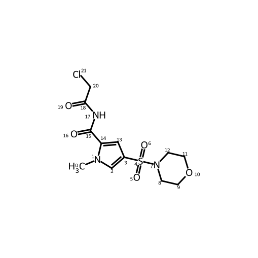 Cn1cc(S(=O)(=O)N2CCOCC2)cc1C(=O)NC(=O)CCl